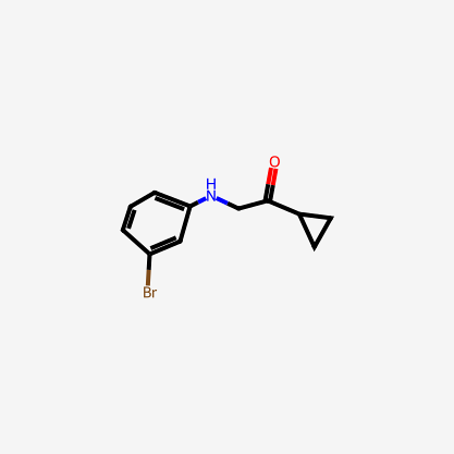 O=C(CNc1cccc(Br)c1)C1CC1